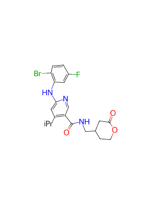 CC(C)c1cc(Nc2cc(F)ccc2Br)ncc1C(=O)NCC1CCOC(=O)C1